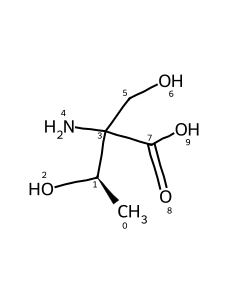 C[C@@H](O)C(N)(CO)C(=O)O